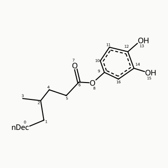 CCCCCCCCCCCC(C)CCC(=O)Oc1ccc(O)c(O)c1